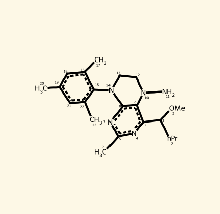 CCCC(OC)c1nc(C)nc2c1N(N)CCN2c1c(C)cc(C)cc1C